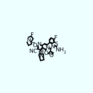 N#Cc1c(OC[C@@]23CCCN2C[C@H](F)C3)nc2cc(-c3ccc(F)c4sc(N)nc34)n(CC3COC3)c(=O)c2c1N1CC2CCC(C1)N2